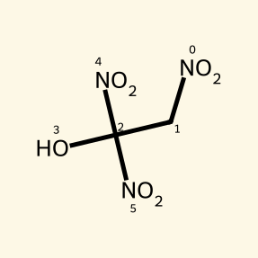 O=[N+]([O-])CC(O)([N+](=O)[O-])[N+](=O)[O-]